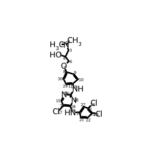 CN(C)CC(O)COc1ccc(Nc2ncc(Cl)c(Nc3ccc(Cl)c(Cl)c3)n2)cc1